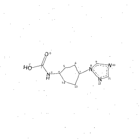 O=C(O)NC1CCC(n2cncn2)CC1